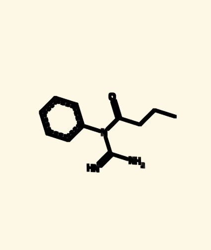 CCCC(=O)N(C(=N)N)c1ccccc1